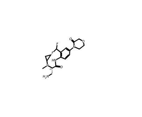 CN(C1CC1)[C@@H](CN)C(=O)Nc1ccc(N2CCOCC2=O)cc1C(F)F